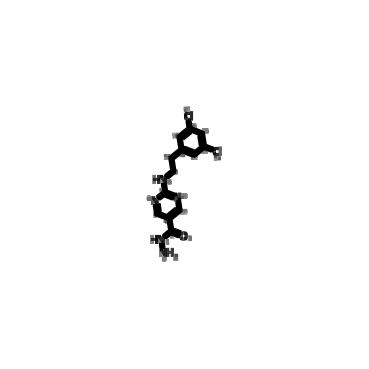 NNC(=O)c1cnc(NCCc2cc(Cl)cc(Cl)c2)nc1